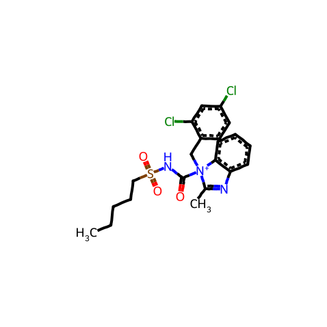 CCCCCS(=O)(=O)NC(=O)[N+]1(Cc2ccc(Cl)cc2Cl)C(C)=Nc2ccccc21